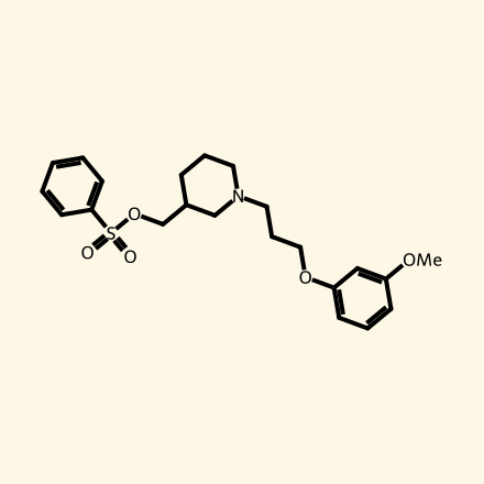 COc1cccc(OCCCN2CCCC(COS(=O)(=O)c3ccccc3)C2)c1